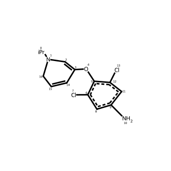 CC(C)N1C=C(Oc2c(Cl)cc(N)cc2Cl)C=CC1